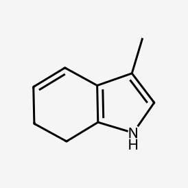 Cc1c[nH]c2c1C=CCC2